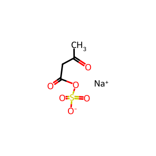 CC(=O)CC(=O)OS(=O)(=O)[O-].[Na+]